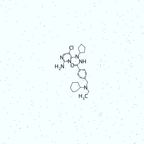 CCN(Cc1ccc(C(=O)NN(c2nc(N)ncc2Cl)C2CCCC2)cc1)C1CCCCC1